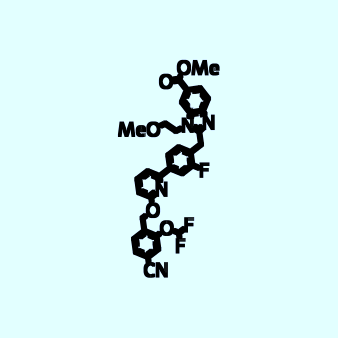 COCCn1c(Cc2ccc(-c3cccc(OCc4ccc(C#N)cc4OC(F)F)n3)cc2F)nc2ccc(C(=O)OC)cc21